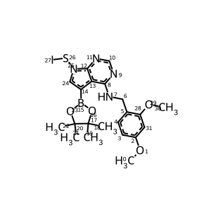 COc1ccc(CNc2ncnc3c2c(B2OC(C)(C)C(C)(C)O2)cn3SI)c(OC)c1